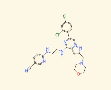 N#Cc1ccc(NCCNc2nc(-c3ccc(Cl)cc3Cl)cn3nc(CN4CCOCC4)cc23)nc1